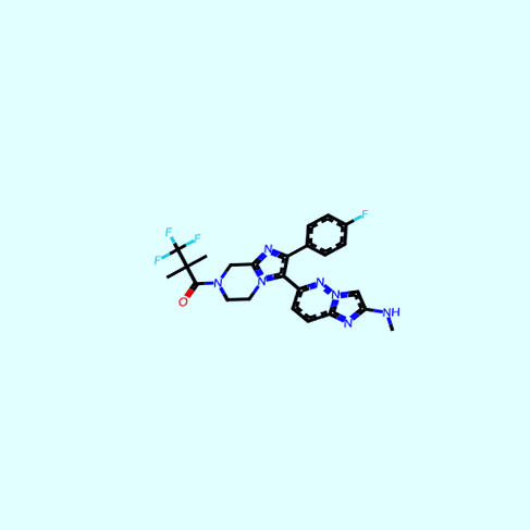 CNc1cn2nc(-c3c(-c4ccc(F)cc4)nc4n3CCN(C(=O)C(C)(C)C(F)(F)F)C4)ccc2n1